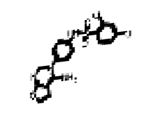 NC1=c2ccoc2=NCN1c1ccc(NS(=O)(=O)c2ccc(Cl)cc2Cl)cc1